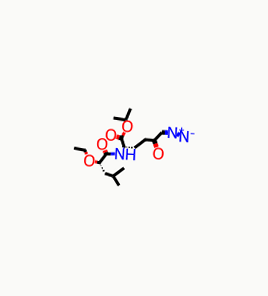 CCO[C@@H](CC(C)C)C(=O)N[C@@H](CCC(=O)C=[N+]=[N-])C(=O)OC(C)C